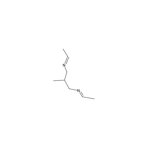 CC=NCC(C)CN=CC